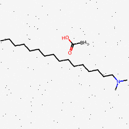 BC(=O)O.CCCCCCCCCCCCCCCCN(C)C